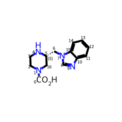 O=C(O)N1CCN[C@H](Cn2cnc3ccccc32)C1